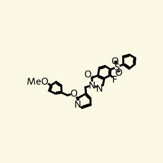 COc1ccc(COc2ncccc2Cn2ncc3c(F)c(S(=O)(=O)c4ccccc4)ccc3c2=O)cc1